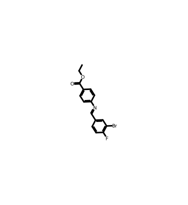 CCOC(=O)c1ccc(N=Cc2ccc(F)c(Br)c2)cc1